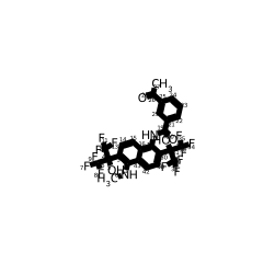 CNc1c(C(O)(C(F)(F)F)C(F)(F)F)ccc2c(NC(=O)c3cccc(C(C)=O)c3)c(C(O)(C(F)(F)F)C(F)(F)F)ccc12